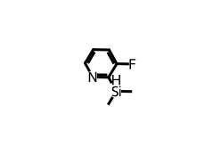 C[SiH](C)c1ncccc1F